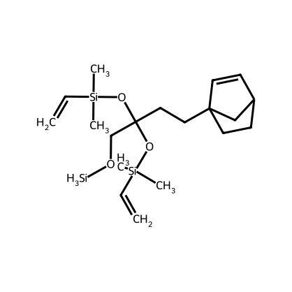 C=C[Si](C)(C)OC(CCC12C=CC(CC1)C2)(CO[SiH3])O[Si](C)(C)C=C